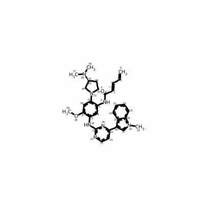 C=C/C=C/C(=O)Nc1cc(Nc2nccc(-c3cn(C)c4ccccc34)n2)c(OC)cc1N1CC[C@H](N(C)C)C1